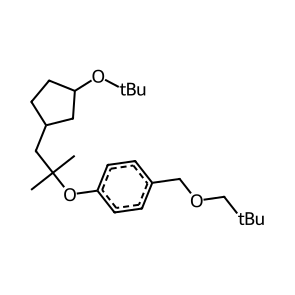 CC(C)(C)COCc1ccc(OC(C)(C)CC2CCC(OC(C)(C)C)C2)cc1